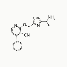 C[C@H](N)c1csc(COc2nccc(-c3ccccc3)c2C#N)n1